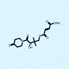 COC(=O)/C=C/C(=O)OCC(C)(C)[C@@H](O)C(=O)N1CCC(=O)CC1